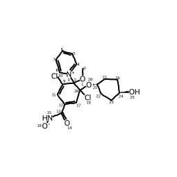 COC1([n+]2ccccc2)C(Cl)=CC(C(=O)N[O-])=CC1(Cl)O[C@H]1CC[C@H](O)CC1